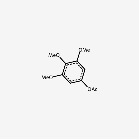 COc1cc(OC(C)=O)cc(OC)c1OC